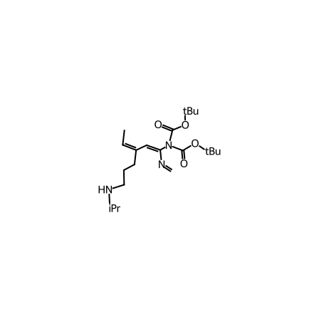 C=N/C(=C\C(=C/C)CCCNC(C)C)N(C(=O)OC(C)(C)C)C(=O)OC(C)(C)C